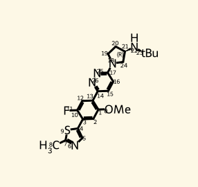 COc1cc(-c2cnc(C)s2)c(F)cc1-c1ccc(N2CC[C@@H](NC(C)(C)C)C2)nn1